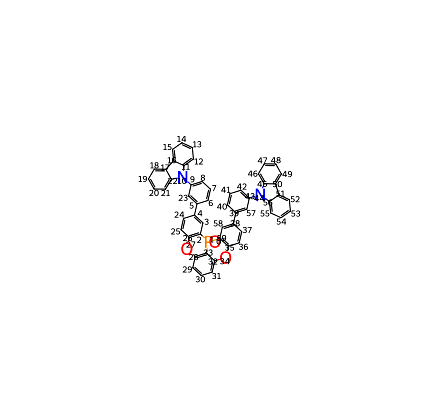 O=P12c3cc(-c4cccc(-n5c6ccccc6c6ccccc65)c4)ccc3Oc3cccc(c31)Oc1ccc(-c3cccc(-n4c5ccccc5c5ccccc54)c3)cc12